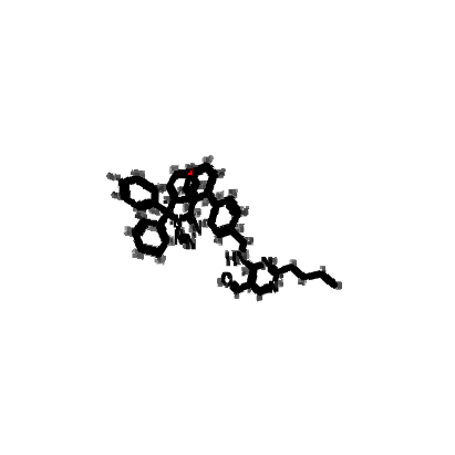 CCCCc1ncc(C=O)c(NCc2ccc(-c3ccccc3-c3nnnn3C(c3ccccc3)(c3ccccc3)c3ccccc3)cc2)n1